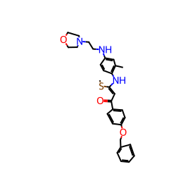 CS/C(=C\C(=O)c1ccc(OCc2ccccc2)cc1)Nc1ccc(NCCN2CCOCC2)cc1C